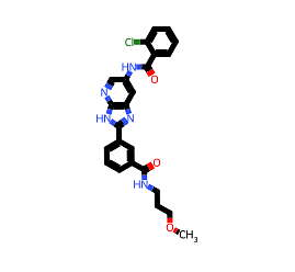 COCCCNC(=O)c1cccc(-c2nc3cc(NC(=O)c4ccccc4Cl)cnc3[nH]2)c1